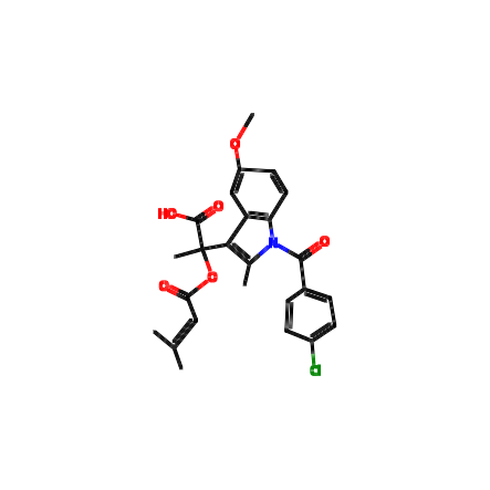 COc1ccc2c(c1)c(C(C)(OC(=O)C=C(C)C)C(=O)O)c(C)n2C(=O)c1ccc(Cl)cc1